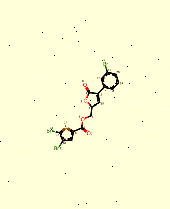 O=C1OC(COC(=O)c2cc(Br)c(Br)s2)C=C1c1cccc(Br)c1